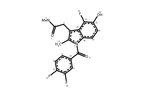 CNC(=O)Cc1c(C)n(C(=O)c2ccc(F)c(F)c2)c2ccc(O)c(F)c12